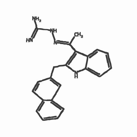 CC(=NNC(=N)N)c1c(Cc2ccc3ccccc3c2)[nH]c2ccccc12